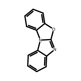 c1ccc2c(c1)nc1oc3ccccc3n12